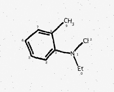 CCN(Cl)c1ccccc1C